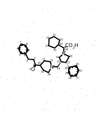 O=C(CCc1ccccc1)C1CCN(C[C@H]2CN([C@@H](C(=O)O)C3CCCCC3)C[C@@H]2c2ccccc2)CC1